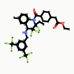 CCOC(=O)CC1CCC(C(=O)N2c3ccc(C)cc3C(NCc3cc(C(F)(F)F)cc(C(F)(F)F)c3)C(F)(F)C2(F)CC)CC1